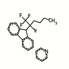 CCCC[C]([Ir])(C1c2ccccc2-c2ccccc21)C(F)(F)F.c1ccncc1